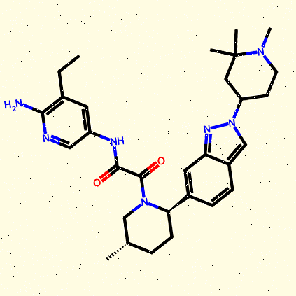 CCc1cc(NC(=O)C(=O)N2C[C@@H](C)CC[C@@H]2c2ccc3cn(C4CCN(C)C(C)(C)C4)nc3c2)cnc1N